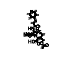 CC(=O)OCC1=C(C(=O)O)N2C(=O)[C@@H](NC(=O)CSc3ccncc3)[C@H]2SC1.[NaH].[NaH]